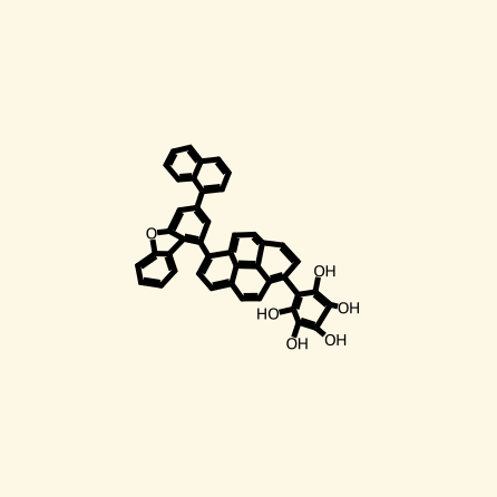 Oc1c(O)c(O)c(-c2ccc3ccc4c(-c5cc(-c6cccc7ccccc67)cc6oc7ccccc7c56)ccc5ccc2c3c54)c(O)c1O